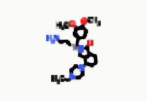 CCN1CCN(c2cccc3c2CN([C@H](CCCN)c2ccc(OC)c(OC)c2)C3=O)CC1